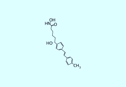 Cc1ccc(C=Cc2ccc([C@H](O)CCCCC(=O)NO)cc2)cc1